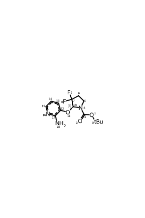 CC(C)(C)OC(=O)N1CCC(F)(F)[C@@H]1Oc1cccnc1N